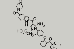 CC(=O)O.CN(C)C(=O)c1ccccc1Oc1ccc(-n2ncc(C(=O)c3cc4cc(C(=O)N5CCNCC5)ccc4[nH]3)c2N)c(Cl)c1